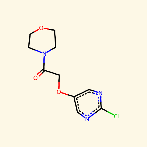 O=C(COc1cnc(Cl)nc1)N1CCOCC1